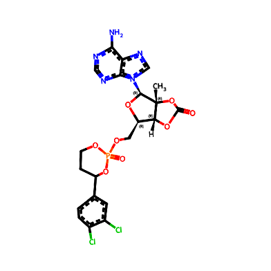 C[C@@]12OC(=O)O[C@@H]1[C@@H](COP1(=O)OCCC(c3ccc(Cl)c(Cl)c3)O1)O[C@H]2n1cnc2c(N)ncnc21